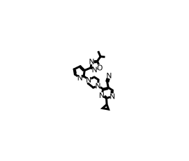 CC(C)c1nc(-c2cccnc2N2CCN(c3nc(C4CC4)ncc3C#N)CC2)no1